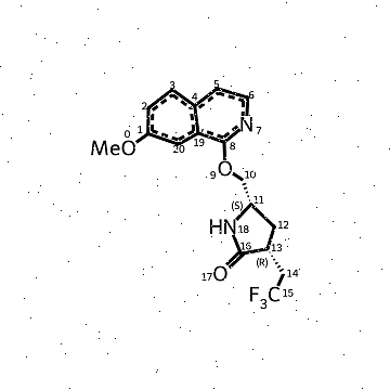 COc1ccc2ccnc(OC[C@@H]3C[C@H](CC(F)(F)F)C(=O)N3)c2c1